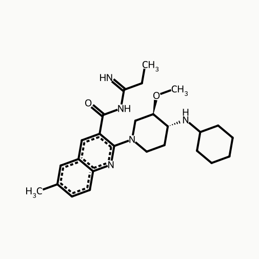 CCC(=N)NC(=O)c1cc2cc(C)ccc2nc1N1CC[C@@H](NC2CCCCC2)[C@H](OC)C1